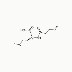 C=CCCC(=O)N[C@@H](CCSC)C(=O)O